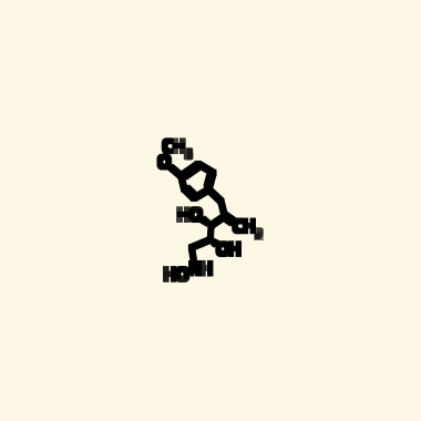 C=C(Cc1ccc(OC)cc1)[C@H](O)[C@@H](O)CNO